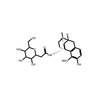 COc1c(O)ccc2c1[C@]13CCN(C)[C@H](C2)[C@@H]1CC[C@@H](NC(=O)CC1OC(CO)C(O)C(O)C1O)C3